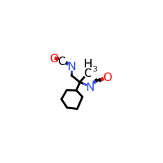 CC(CN=C=O)(N=C=O)C1CCCCC1